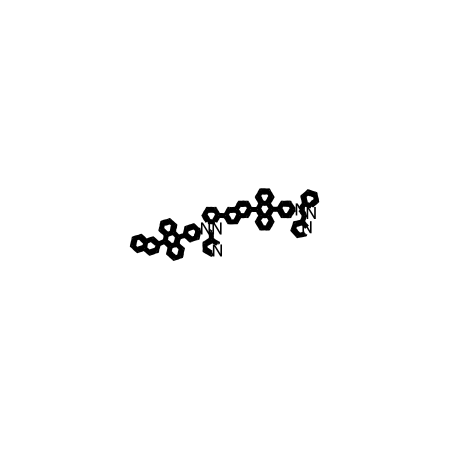 c1ccc(-c2nc3ccccc3n2-c2ccc(-c3c4ccccc4c(-c4ccc5cc(-c6cccc7c6nc(-c6cccnc6)n7-c6ccc(-c7c8ccccc8c(-c8ccc9ccccc9c8)c8ccccc78)cc6)ccc5c4)c4ccccc34)cc2)nc1